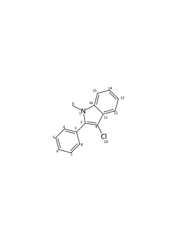 Cn1c(-c2ccccc2)c(Cl)c2ccccc21